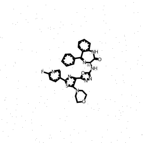 O=C1Nc2ccccc2C(c2ccccc2)=N[C@@H]1Nc1nnc(-c2nc(-c3ccc(F)nc3)sc2N2CCOCC2)o1